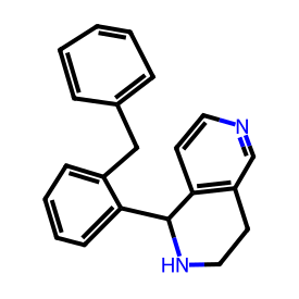 c1ccc(Cc2ccccc2C2NCCc3cnccc32)cc1